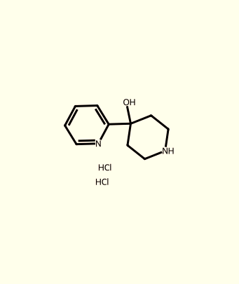 Cl.Cl.OC1(c2ccccn2)CCNCC1